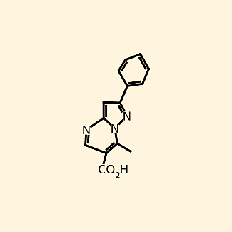 Cc1c(C(=O)O)cnc2cc(-c3ccccc3)nn12